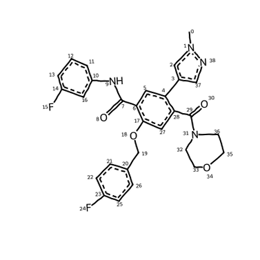 Cn1cc(-c2cc(C(=O)Nc3cccc(F)c3)c(OCc3ccc(F)cc3)cc2C(=O)N2CCOCC2)cn1